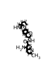 Cc1ccc2c(N)c(C(=O)N[C@H]3COc4cc(N5CCCC56CNC6)ccc4C3)sc2n1